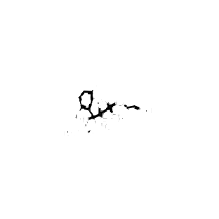 C=CCOC(C)(C)C(F)(F)[C@](C)(N[S@+]([O-])C(C)(C)C)c1cc(Br)ccc1F